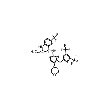 CC[C@@H]1C[C@H](Nc2ncc(N3CCOCC3)c(Cc3cc(C(F)(F)F)cc(C(F)(F)F)c3)n2)c2cc(C(F)(F)F)ccc2N1